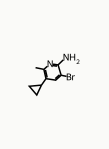 Cc1nc(N)c(Br)cc1C1CC1